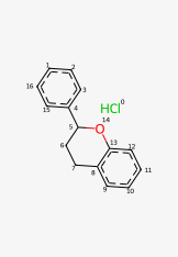 Cl.c1ccc(C2CCc3ccccc3O2)cc1